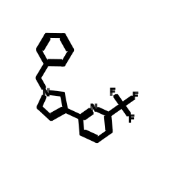 FC(F)(F)c1cccc(C2=CCN(Cc3ccccc3)C2)n1